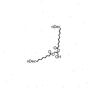 CCCCCCCCCCCCCCCCCCCC(=O)O[C@@H](CO)COC(=O)CCCCCCCCCCCCCCCCC